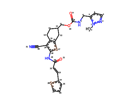 Cn1nccc1CNC(=O)OCC1CCc2c(sc(NC(=O)C=Cc3cccs3)c2C#N)C1